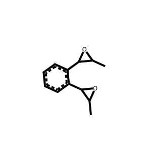 CC1OC1c1[c]cccc1C1OC1C